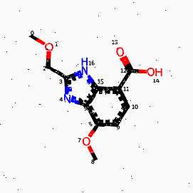 COCc1nc2c(OC)ccc(C(=O)O)c2[nH]1